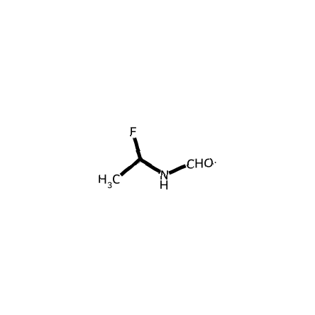 CC(F)N[C]=O